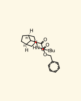 CC(C)(C)OC(=O)N1C[C@H]2CC[C@@H](C1)C2CNC(=O)OCc1ccccc1